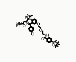 CCNC(=O)C[C@@H]1N=C(c2ccc(Cl)cc2)c2cc(OCCOCCNC(=O)c3ccc(B4OC(C)(C)C(C)(C)O4)cc3)ccc2-n2c(C)nnc21